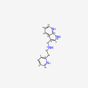 c1ccc(CCNCc2c[nH]c3ncccc23)nc1